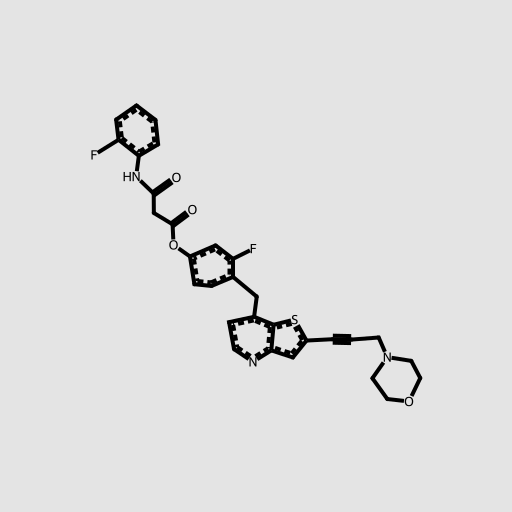 O=C(CC(=O)Oc1ccc(Cc2ccnc3cc(C#CCN4CCOCC4)sc23)c(F)c1)Nc1ccccc1F